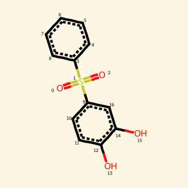 O=S(=O)(c1ccccc1)c1ccc(O)c(O)c1